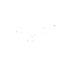 Cn1cc(-c2n[nH]c3ccc(N[C@H]4CCCc5cc(C#N)ccc54)cc23)ccc1=O